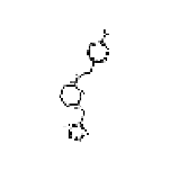 Clc1ccc(CO[C@@H]2CCC[C@H](Cc3ncc[nH]3)O2)cc1